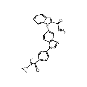 NC(=O)c1cc2ccccc2n1-c1ccc2c(c1)ncn2-c1ccc(C(=O)NC2CC2)cc1